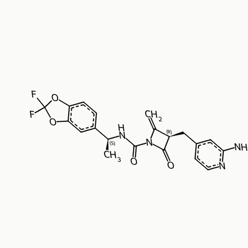 C=C1[C@@H](Cc2ccnc(N)c2)C(=O)N1C(=O)N[C@@H](C)c1ccc2c(c1)OC(F)(F)O2